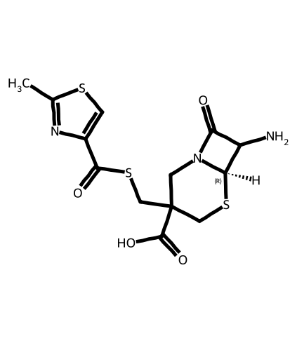 Cc1nc(C(=O)SCC2(C(=O)O)CS[C@@H]3C(N)C(=O)N3C2)cs1